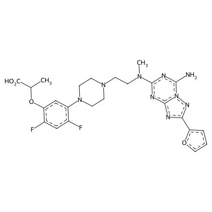 CC(Oc1cc(N2CCN(CCN(C)c3nc(N)n4nc(-c5ccco5)nc4n3)CC2)c(F)cc1F)C(=O)O